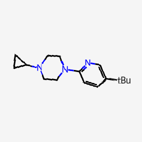 CC(C)(C)c1ccc(N2CCN(C3CC3)CC2)nc1